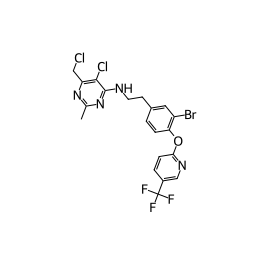 Cc1nc(CCl)c(Cl)c(NCCc2ccc(Oc3ccc(C(F)(F)F)cn3)c(Br)c2)n1